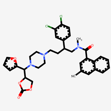 CN(CC(CCN1CCN(C(c2ccco2)C2COC(=O)O2)CC1)c1ccc(Cl)c(Cl)c1)C(=O)c1cc(C#N)cc2ccccc12